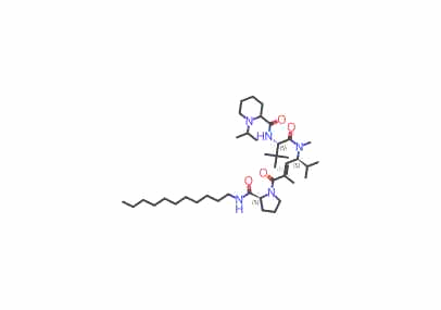 CCCCCCCCCCCNC(=O)[C@@H]1CCCN1C(=O)/C(C)=C/[C@H](C(C)C)N(C)C(=O)[C@@H](NC(=O)C1CCCCN1C(C)C)C(C)(C)C